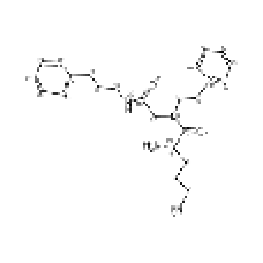 NCCC[C@H](N)C(=O)N(CCc1ccccc1)CC(=O)NCCCc1ccccc1